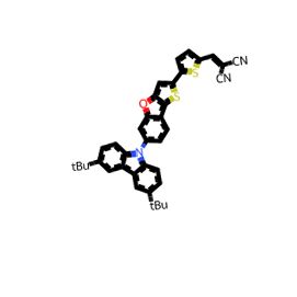 CC(C)(C)c1ccc2c(c1)c1cc(C(C)(C)C)ccc1n2-c1ccc2c(c1)oc1cc(-c3ccc(C=C(C#N)C#N)s3)sc12